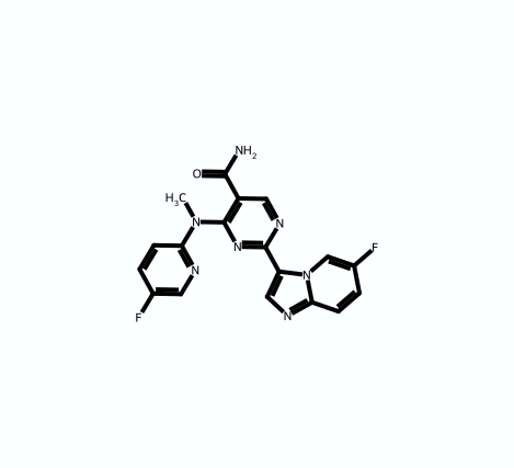 CN(c1ccc(F)cn1)c1nc(-c2cnc3ccc(F)cn23)ncc1C(N)=O